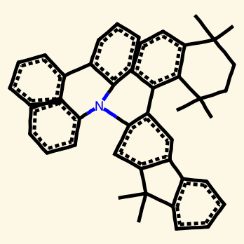 CC1(C)CCC(C)(C)c2c(-c3cc4c(cc3N(c3ccccc3)c3ccccc3-c3ccccc3)C(C)(C)c3ccccc3-4)cccc21